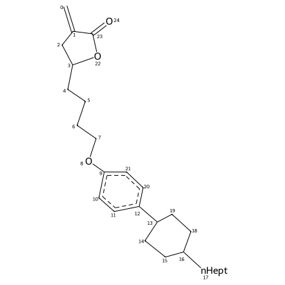 C=C1CC(CCCCOc2ccc(C3CCC(CCCCCCC)CC3)cc2)OC1=O